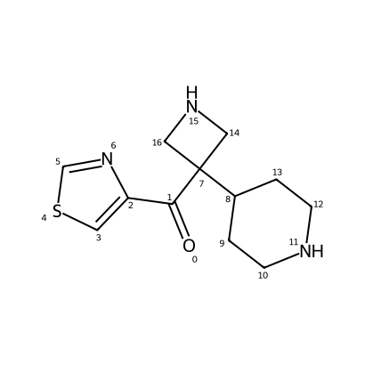 O=C(c1cscn1)C1(C2CCNCC2)CNC1